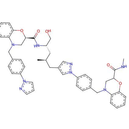 CNC(=O)C1CN(Cc2ccc(-n3cc(C[C@@H](C)C[C@@H](CO)NC(=O)[C@H]4CN(Cc5ccc(-n6cccn6)cc5)c5ccccc5O4)cn3)cc2)c2ccccc2O1